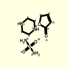 C1CNCCN1.NS(N)(=O)=O.O=C1C=CCO1